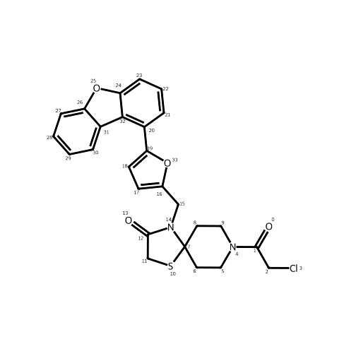 O=C(CCl)N1CCC2(CC1)SCC(=O)N2Cc1ccc(-c2cccc3oc4ccccc4c23)o1